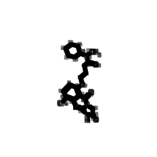 CN(C(=O)CCCOc1ccc(Cl)c2nc3n(c(=O)c12)CC(=O)N3)C1CCCCC1